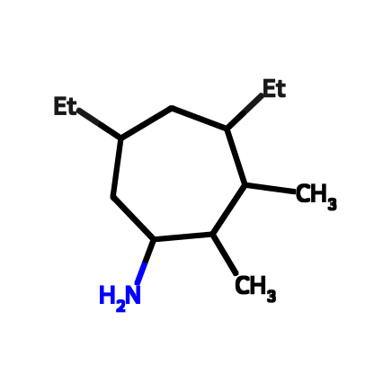 CCC1CC(N)C(C)C(C)C(CC)C1